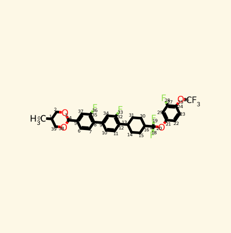 CC1COC(c2ccc(-c3ccc(C4CCC(C(F)(F)Oc5ccc(OC(F)(F)F)c(F)c5)CC4)c(F)c3)c(F)c2)OC1